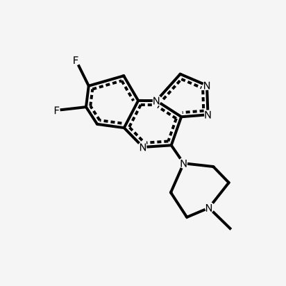 CN1CCN(c2nc3cc(F)c(F)cc3n3cnnc23)CC1